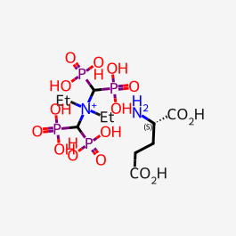 CC[N+](CC)(C(P(=O)(O)O)P(=O)(O)O)C(P(=O)(O)O)P(=O)(O)O.N[C@@H](CCC(=O)O)C(=O)O